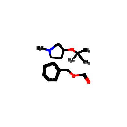 CN1CCC(OC(C)(C)C)C1.O=COCc1ccccc1